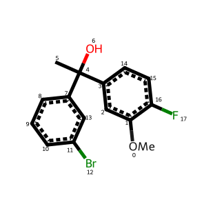 COc1cc(C(C)(O)c2cccc(Br)c2)ccc1F